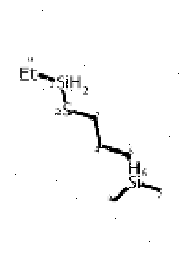 CC[SiH2]SCCC[SiH](C)C